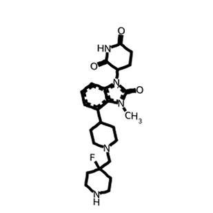 Cn1c(=O)n(C2CCC(=O)NC2=O)c2cccc(C3CCN(CC4(F)CCNCC4)CC3)c21